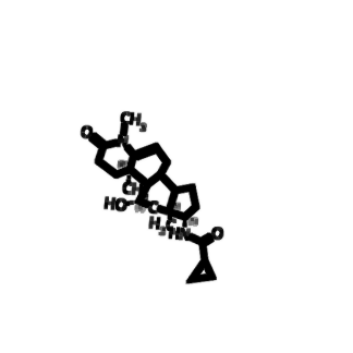 CN1C(=O)CC[C@@]2(C)C1=CCC1C2[C@@H](O)C[C@@]2(C)C1CC[C@@H]2NC(=O)C1CC1